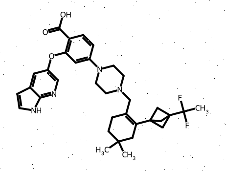 CC1(C)CCC(CN2CCN(c3ccc(C(=O)O)c(Oc4cnc5[nH]ccc5c4)c3)CC2)=C(C23CC(C(C)(F)F)(C2)C3)C1